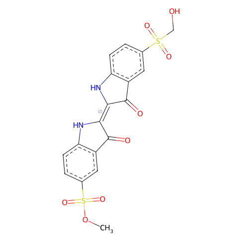 COS(=O)(=O)c1ccc2c(c1)C(=O)/C(=C1/Nc3ccc(S(=O)(=O)CO)cc3C1=O)N2